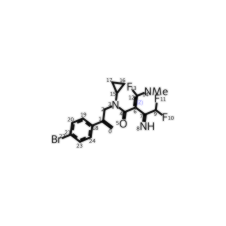 C=C(CN(C(=O)/C(C(=N)C(F)F)=C(\F)NC)C1CC1)c1ccc(Br)cc1